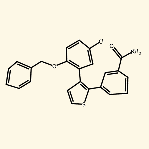 NC(=O)c1cccc(-c2sccc2-c2cc(Cl)ccc2OCc2ccccc2)c1